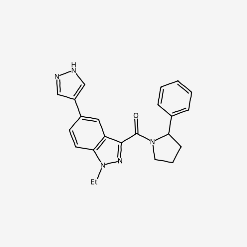 CCn1nc(C(=O)N2CCCC2c2ccccc2)c2cc(-c3cn[nH]c3)ccc21